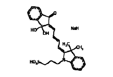 CC1(C)C(=CC=CC=C2C(=O)c3ccccc3S2(O)O)N(CCCS(=O)(=O)O)c2ccccc21.[NaH]